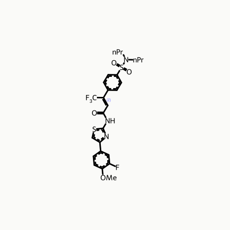 CCCN(CCC)S(=O)(=O)c1ccc(/C(=C/C(=O)Nc2nc(-c3ccc(OC)c(F)c3)cs2)C(F)(F)F)cc1